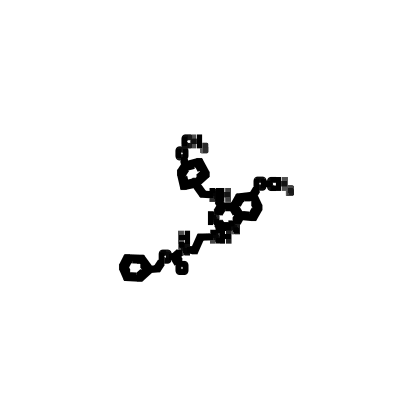 COc1ccc(CNc2nc(NCCNC(=O)OCc3ccccc3)nc3ccc(OC)cc23)cc1